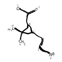 CCCC=CC1C(C(=O)Cl)C1(C)C